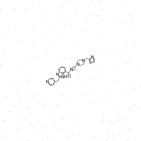 O=C(c1cccc2nc(Cc3ccncc3)[nH]c12)N1CC(N2CCN(Cc3nccs3)CC2)C1